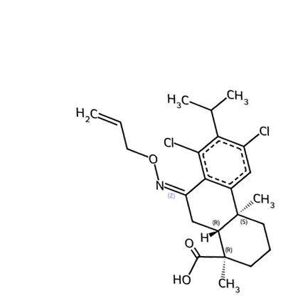 C=CCO/N=C1/C[C@H]2[C@](C)(C(=O)O)CCC[C@]2(C)c2cc(Cl)c(C(C)C)c(Cl)c21